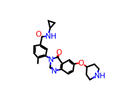 Cc1ccc(C(=O)NC2CC2)cc1-n1cnc2ccc(OC3CCNCC3)cc2c1=O